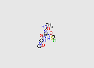 CNC(=O)CN1C[C@H](NC(=O)c2ccc(-n3ccccc3=O)cc2)[C@H](NC(=O)c2ccc(Cl)s2)C1